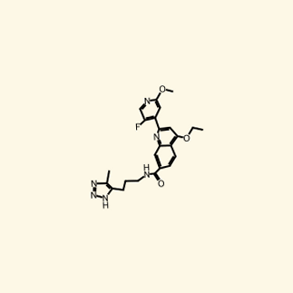 CCOc1cc(-c2cc(OC)ncc2F)nc2cc(C(=O)NCCCc3[nH]nnc3C)ccc12